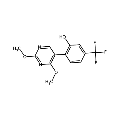 COc1ncc(-c2ccc(C(F)(F)F)cc2O)c(OC)n1